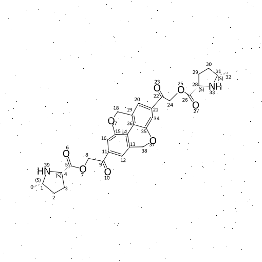 C[C@H]1CC[C@@H](C(=O)OCC(=O)c2cc3c4c(c2)OCc2cc(C(=O)COC(=O)[C@@H]5CC[C@H](C)N5)cc(c2-4)OC3)N1